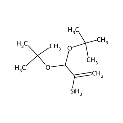 C=C([SiH3])C(OC(C)(C)C)OC(C)(C)C